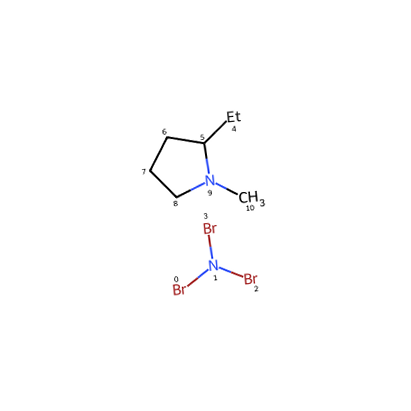 BrN(Br)Br.CCC1CCCN1C